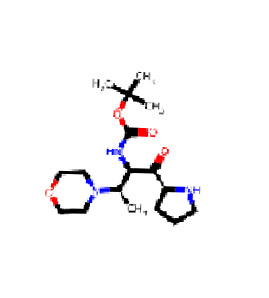 C[C@H](C(NC(=O)OC(C)(C)C)C(=O)[C@@H]1CCCN1)N1CCOCC1